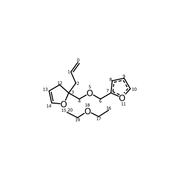 C=CCC1(COCc2ccco2)CC=CO1.CCOCC